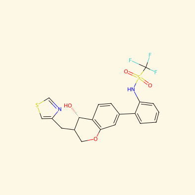 O=S(=O)(Nc1ccccc1-c1ccc2c(c1)OCC(Cc1cscn1)[C@@H]2O)C(F)(F)F